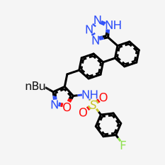 CCCCc1noc(NS(=O)(=O)c2ccc(F)cc2)c1Cc1ccc(-c2ccccc2-c2nnn[nH]2)cc1